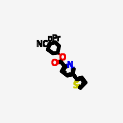 CCC[C@]1(C#N)CC[C@H](OC(=O)c2ccc(-c3cccs3)cn2)CC1